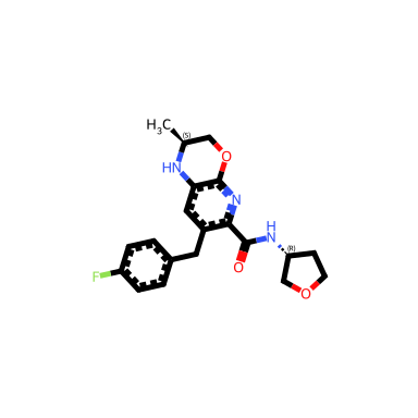 C[C@H]1COc2nc(C(=O)N[C@@H]3CCOC3)c(Cc3ccc(F)cc3)cc2N1